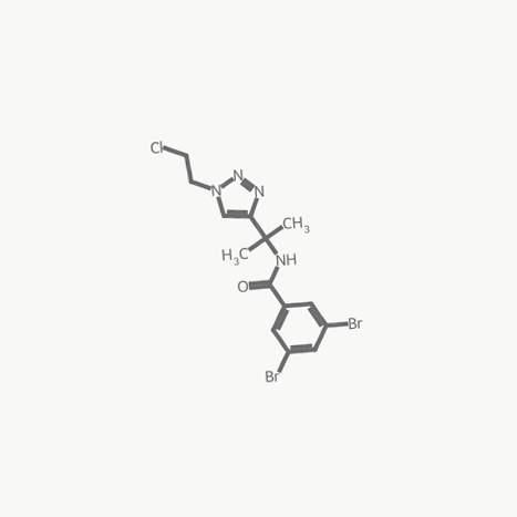 CC(C)(NC(=O)c1cc(Br)cc(Br)c1)c1cn(CCCl)nn1